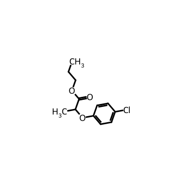 CCCOC(=O)C(C)Oc1ccc(Cl)cc1